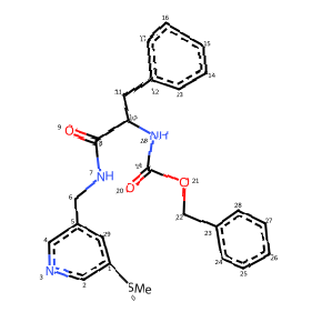 CSc1cncc(CNC(=O)C(Cc2ccccc2)NC(=O)OCc2ccccc2)c1